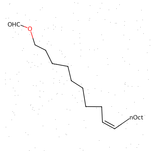 CCCCCCCC/C=C\CCCCCCCCOC=O